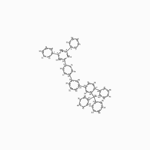 c1ccc(-c2nc(-c3ccccc3)nc(-c3ccc(-c4cccc(-c5ccc6c(c5)C(c5ccccc5)(c5ccccc5)c5ccccc5-6)c4)cc3)n2)cc1